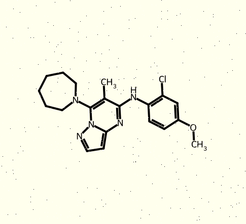 COc1ccc(Nc2nc3ccnn3c(N3CCCCCC3)c2C)c(Cl)c1